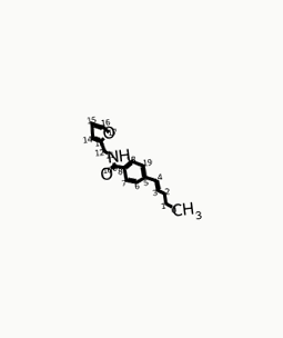 CCC/C=C/c1ccc(C(=O)NCc2ccco2)cc1